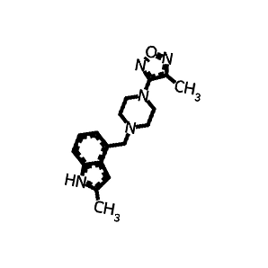 Cc1cc2c(CN3CCN(c4nonc4C)CC3)cccc2[nH]1